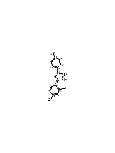 Cc1cc(Br)ccc1-c1cn(-c2ccc(Br)cc2)nn1